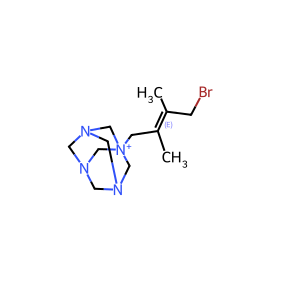 C/C(CBr)=C(/C)C[N+]12CN3CN(CN(C3)C1)C2